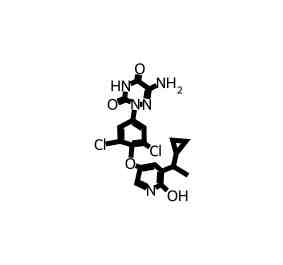 CC(c1cc(Oc2c(Cl)cc(-n3nc(N)c(=O)[nH]c3=O)cc2Cl)cnc1O)C1CC1